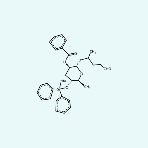 CC(CCC=O)O[C@@H]1O[C@@H](C)[C@H](O[Si](c2ccccc2)(c2ccccc2)C(C)(C)C)C[C@H]1OC(=O)c1ccccc1